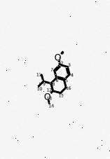 COc1ccc2c(c1)C(C(C)C)C(OC)CC2